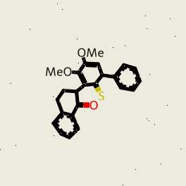 COC1=CC(c2ccccc2)C(=S)C(C2CCc3ccccc3C2=O)=C1OC